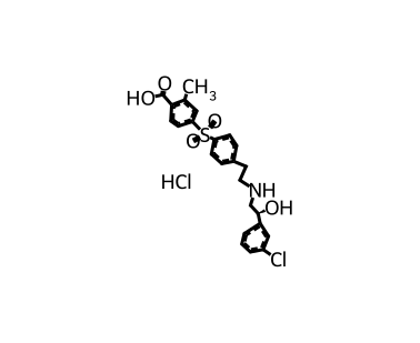 Cc1cc(S(=O)(=O)c2ccc(CCNC[C@@H](O)c3cccc(Cl)c3)cc2)ccc1C(=O)O.Cl